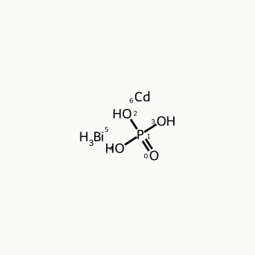 O=P(O)(O)O.[BiH3].[Cd]